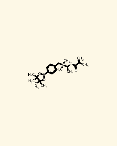 C=C(C)C(=O)OC(C)[N+](C)(C)Cc1ccc(B2OC(C)(C)C(C)(C)O2)cc1